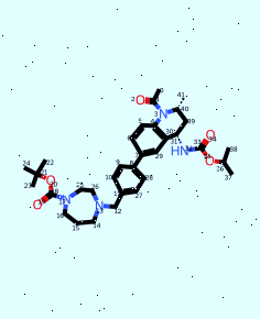 CC(=O)N1c2ccc(-c3ccc(CN4CCCN(C(=O)OC(C)(C)C)CC4)cc3)cc2[C@@H](NC(=O)OC(C)C)C[C@H]1C